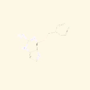 Nc1nc(OCc2ccccc2)c2nccc-2[nH]1